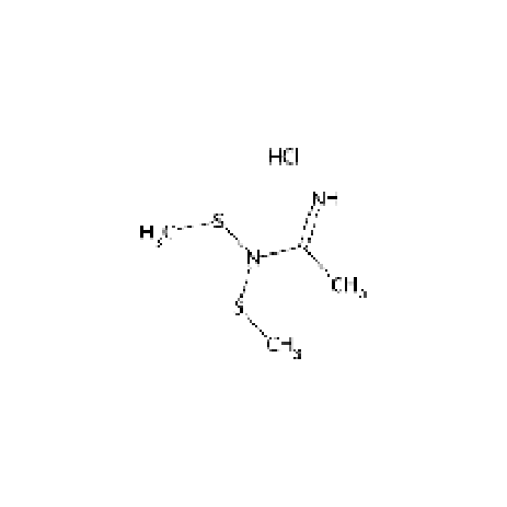 CSN(SC)C(C)=N.Cl